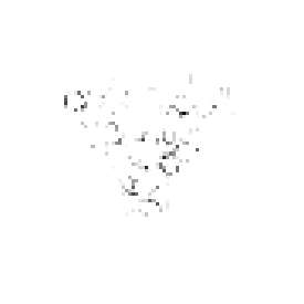 CC[C@H](C)[C@@H]([C@@H](CC(=O)N1CCC[C@H]1[C@H](OC)C(C)C(=O)N[C@@H](Cc1ccccc1)C(=O)OC)OC)N(C)C(=O)[C@@H](NC(=O)[C@H](C(C)C)N(C)CCc1ccc(NC(=O)C(CCCNC(N)=O)NC(=O)[C@@H](N)C(C)C)cc1)C(C)C